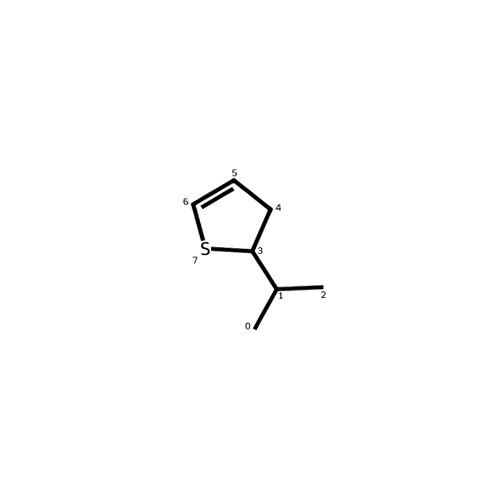 CC(C)C1CC=CS1